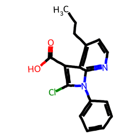 CCCc1ccnc2c1c(C(=O)O)c(Cl)n2-c1ccccc1